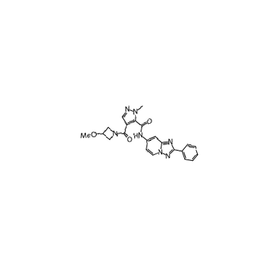 COC1CN(C(=O)c2cnn(C)c2C(=O)Nc2ccn3nc(-c4ccccc4)nc3c2)C1